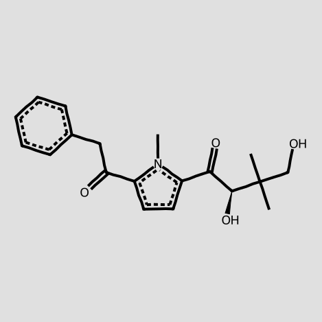 Cn1c(C(=O)Cc2ccccc2)ccc1C(=O)[C@H](O)C(C)(C)CO